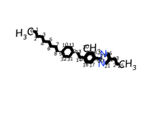 CCCCCCCCC[C@H]1CC[C@H](CCc2ccc(-c3ncc(CCC)cn3)cc2C)CC1